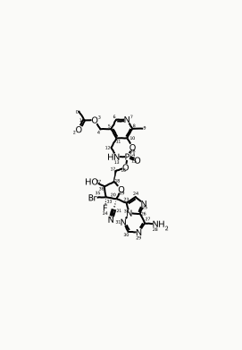 CC(=O)OCc1cnc(C)c2c1CNP(=O)(OC[C@H]1O[C@@](C#N)(c3cnc4c(N)ncnn34)[C@@](F)(Br)C1O)O2